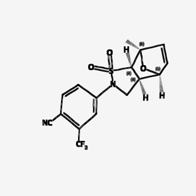 C[C@]12C=C[C@H](O1)[C@H]1CN(c3ccc(C#N)c(C(F)(F)F)c3)S(=O)(=O)[C@H]12